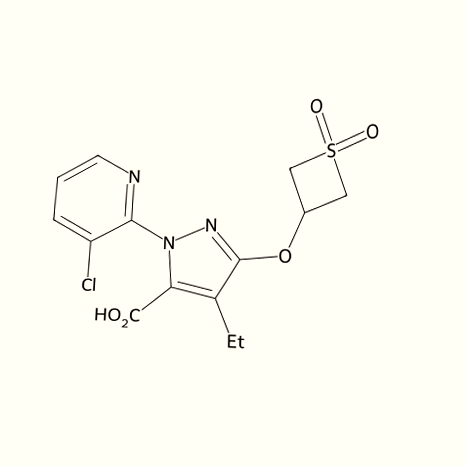 CCc1c(OC2CS(=O)(=O)C2)nn(-c2ncccc2Cl)c1C(=O)O